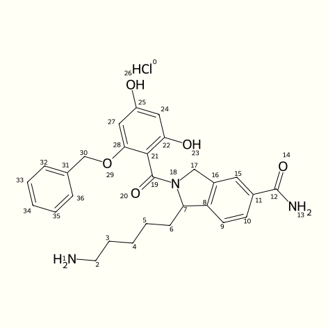 Cl.NCCCCCC1c2ccc(C(N)=O)cc2CN1C(=O)c1c(O)cc(O)cc1OCc1ccccc1